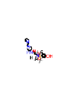 Cc1cc(O)cc(C)c1S(=O)(=O)N(C)CCC(=O)NC1CCN(CCN2CCCC2)CC1